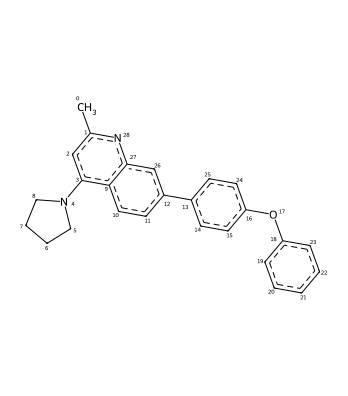 Cc1cc(N2CCCC2)c2ccc(-c3ccc(Oc4ccccc4)cc3)cc2n1